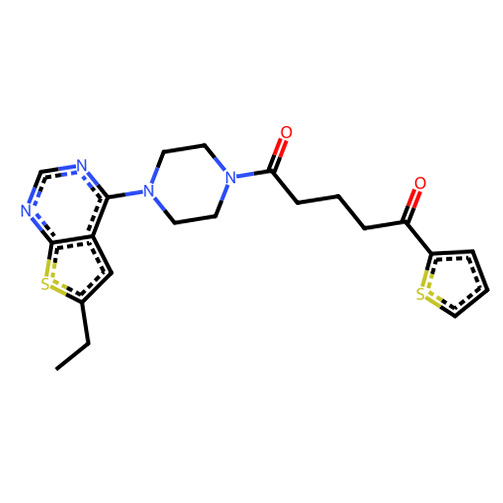 CCc1cc2c(N3CCN(C(=O)CCCC(=O)c4cccs4)CC3)ncnc2s1